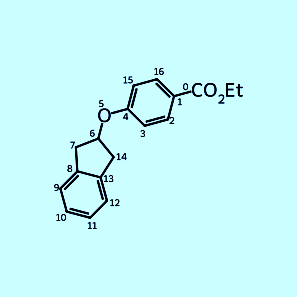 CCOC(=O)c1ccc(OC2Cc3ccccc3C2)cc1